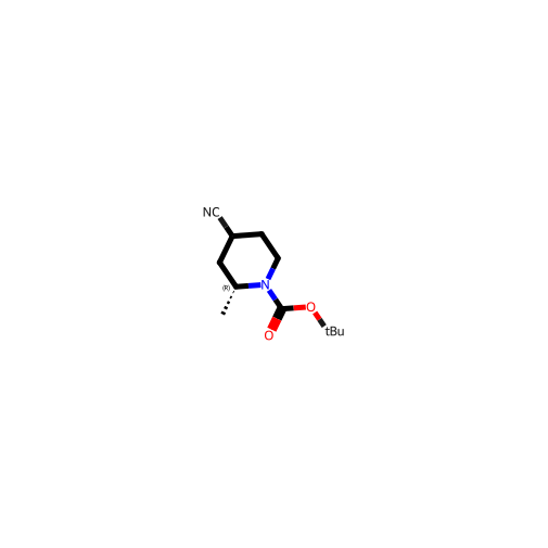 C[C@@H]1CC(C#N)CCN1C(=O)OC(C)(C)C